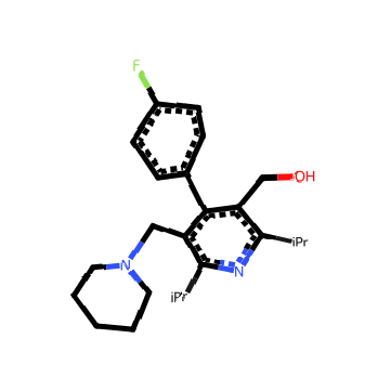 CC(C)c1nc(C(C)C)c(CN2CCCCC2)c(-c2ccc(F)cc2)c1CO